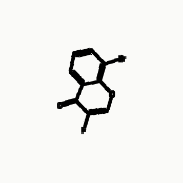 O=c1c(F)coc2c(Br)cccc12